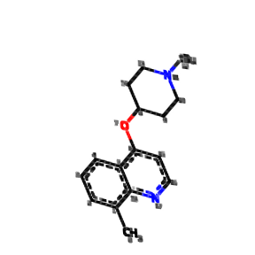 Cc1cccc2c(OC3CCN(C(C)(C)C)CC3)ccnc12